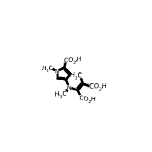 CC(C(=O)O)=C(C(=O)O)N(C)c1cc(C(=O)O)n(C)c1